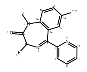 CN1C(=O)C(F)N=C(c2ccccn2)c2cc(F)ccc21